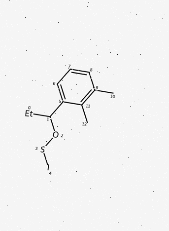 CCC(OSI)c1cccc(C)c1C